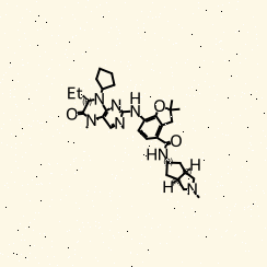 CC[C@@H]1C(=O)N(C)c2cnc(Nc3ccc(C(=O)N[C@@H]4C[C@@H]5CN(C)C[C@@H]5C4)c4c3OC(C)(C)C4)nc2N1C1CCCC1